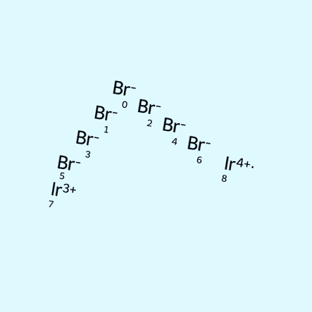 [Br-].[Br-].[Br-].[Br-].[Br-].[Br-].[Br-].[Ir+3].[Ir+4]